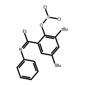 CCC(=Nc1ccccc1)c1cc(C(C)(C)C)cc(C(C)(C)C)c1[O][Ti]([Cl])[Cl]